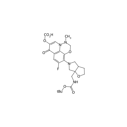 CN1COc2c(N3CC4CCOC4(CNC(=O)OC(C)(C)C)C3)c(F)cc3c(=O)c(OC(=O)O)cn1c23